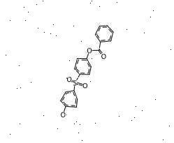 [O]c1ccc(S(=O)(=O)c2ccc(OC(=O)c3ccccc3)cc2)cc1